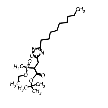 CCCCCCCCCc1noc(CC(C(=O)OC(C)(C)C)P(C)(=O)OCC)n1